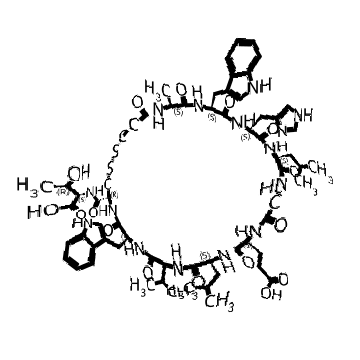 CC(C)C[C@@H]1NC(=O)[C@H](Cc2c[nH]cn2)NC(=O)[C@H](Cc2c[nH]c3ccccc23)NC(=O)[C@H](C)NC(=O)CCSSC[C@@H](C(=O)N[C@H](C(=O)O)[C@@H](C)O)NC(=O)[C@H](Cc2c[nH]c3ccccc23)NC(=O)C(C(C)C)NC(=O)[C@H](CC(C)C)NC(=O)[C@H](CCC(=O)O)NC(=O)CNC1=O